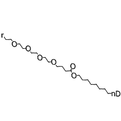 CCCCCCCCCCCCCCCCCCOC(=O)CCCOCCOCCOCCOCCC(C)C